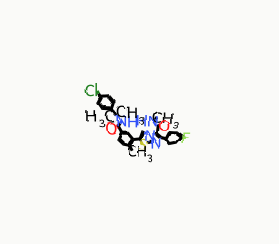 CNC(=O)c1c(-c2ccc(F)cc2)nc2sc(-c3cc(C(=O)NC(C)(C)c4ccc(Cl)cc4)ccc3C)cn12